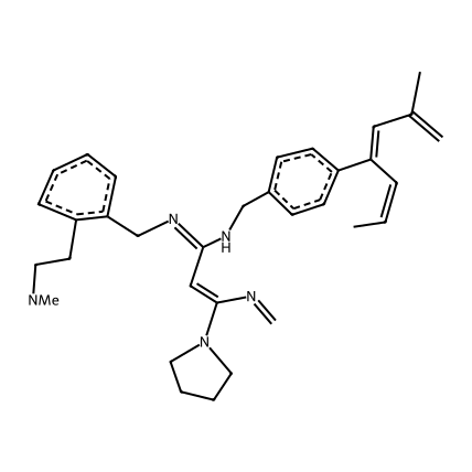 C=N/C(=C\C(=N/Cc1ccccc1CCNC)NCc1ccc(C(/C=C\C)=C/C(=C)C)cc1)N1CCCC1